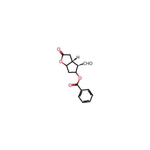 O=C[C@H]1C(OC(=O)c2ccccc2)CC2OC(=O)C[C@@H]21